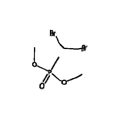 BrCBr.COP(C)(=O)OC